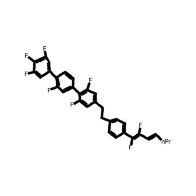 CCC/C=C/C(F)=C(\F)c1ccc(CCc2cc(F)c(-c3ccc(-c4cc(F)c(F)c(F)c4)c(F)c3)c(F)c2)cc1